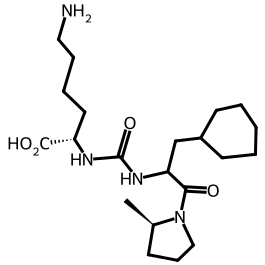 C[C@@H]1CCCN1C(=O)C(CC1CCCCC1)NC(=O)N[C@@H](CCCCN)C(=O)O